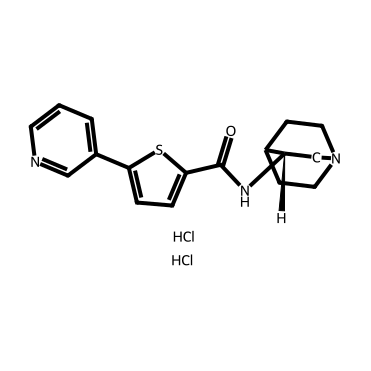 Cl.Cl.O=C(N[C@H]1CN2CCC1CC2)c1ccc(-c2cccnc2)s1